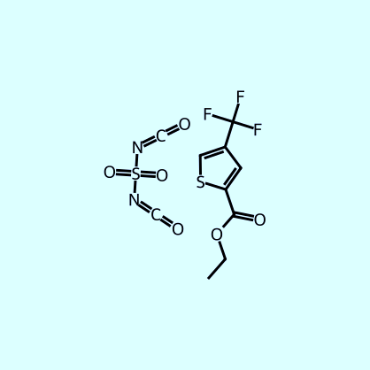 CCOC(=O)c1cc(C(F)(F)F)cs1.O=C=NS(=O)(=O)N=C=O